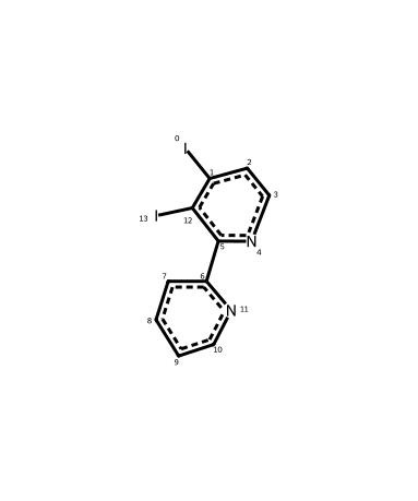 Ic1ccnc(-c2ccccn2)c1I